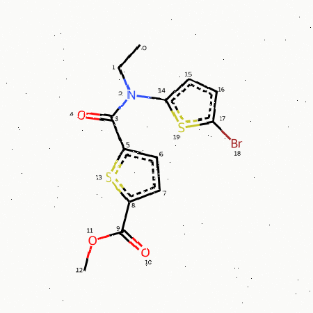 CCN(C(=O)c1ccc(C(=O)OC)s1)c1ccc(Br)s1